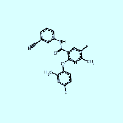 Cc1cc(F)ccc1Oc1nc(C)c(F)cc1C(=O)Nc1cccc(C#N)c1